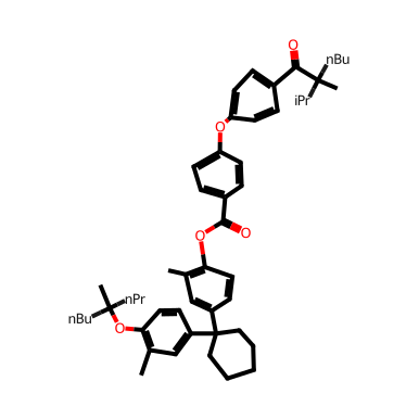 CCCCC(C)(CCC)Oc1ccc(C2(c3ccc(OC(=O)c4ccc(Oc5ccc(C(=O)C(C)(CCCC)C(C)C)cc5)cc4)c(C)c3)CCCCC2)cc1C